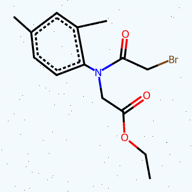 CCOC(=O)CN(C(=O)CBr)c1ccc(C)cc1C